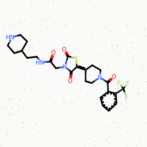 O=C(CN1C(=O)SC(=C2CCN(C(=O)c3ccccc3C(F)(F)F)CC2)C1=O)NCCC1CCNCC1